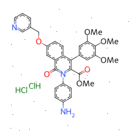 COC(=O)c1c(-c2cc(OC)c(OC)c(OC)c2)c2ccc(OCc3cccnc3)cc2c(=O)n1-c1ccc(N)cc1.Cl.Cl